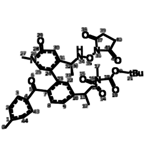 Cc1ccc(C(=O)c2ccc(C(C)S(=O)(=O)N(C)C(=O)OC(C)(C)C)cc2-c2cn(C)c(=O)cc2[C@H](C)NON2C(=O)CCC2=O)cc1